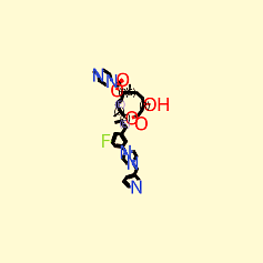 C/C(=C\c1cc(F)cc(N2CCN(Cc3cccnc3)CC2)c1)[C@H]1OC(=O)C[C@H](O)CC[C@H](C)[C@@H](OC(=O)N2CCN(C)CC2)/C=C/[C@@H]1C